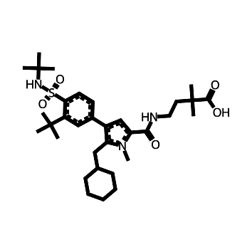 Cn1c(C(=O)NCCC(C)(C)C(=O)O)cc(-c2ccc(S(=O)(=O)NC(C)(C)C)c(C(C)(C)C)c2)c1CC1CCCCC1